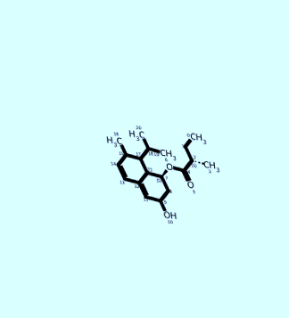 CC[C@H](C)C(=O)O[C@H]1CC(O)C=C2C=CC(C)C(C(C)C)C21